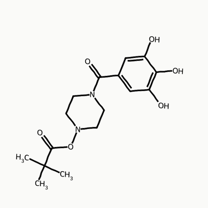 CC(C)(C)C(=O)ON1CCN(C(=O)c2cc(O)c(O)c(O)c2)CC1